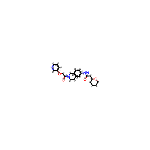 O=C(CC1CCCCO1)Nc1ccc2c(c1)CCN(C(=O)COc1cccnc1)C2